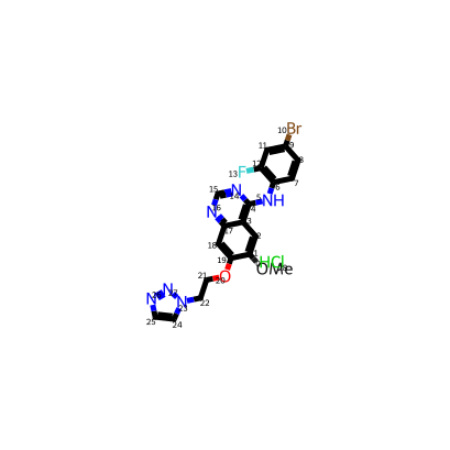 COc1cc2c(Nc3ccc(Br)cc3F)ncnc2cc1OCCn1ccnn1.Cl